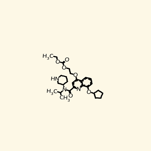 CCOC(=O)OCCOc1cc(C(=O)N(C(C)C)[C@@H]2CCCNC2)nc2c(OC3CCCC3)cccc12